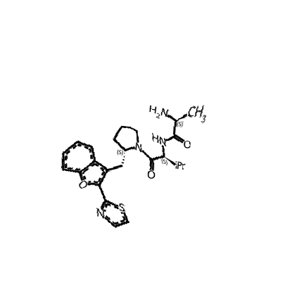 CC(C)[C@H](NC(=O)[C@H](C)N)C(=O)N1CCC[C@H]1Cc1c(-c2nccs2)oc2ccccc12